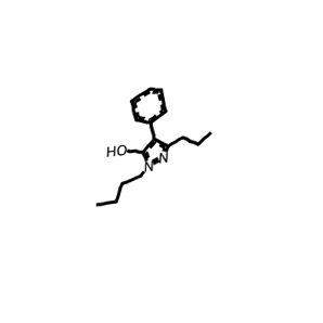 CCCCn1nc(CCC)c(-c2ccccc2)c1O